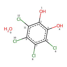 O.Oc1c(O)c(Cl)c(Cl)c(Cl)c1Cl